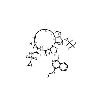 CCOc1cnc(O[C@@H]2C[C@H]3C(=O)NC4(C(=O)NS(=O)(=O)C5CC5)C[C@H]4/C=C\CC[C@H](C)C[C@@H](CC)[C@H](NC(=O)OC(C)(C)C(F)(F)F)C(=O)N3C2)c2ccccc12